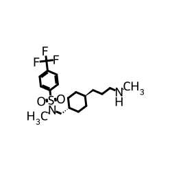 CNCCC[C@H]1CC[C@H](CN(C)S(=O)(=O)c2ccc(C(F)(F)F)cc2)CC1